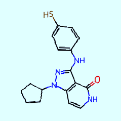 O=c1[nH]ccc2c1c(Nc1ccc(S)cc1)nn2C1CCCC1